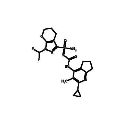 Cc1c(C2CC2)nc2c(c1NC(=O)N=S(N)(=O)c1nn(C(F)F)c3c1CCCO3)CCC2